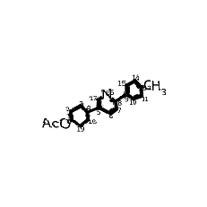 CC(=O)OC1CCC(c2ccc(-c3ccc(C)cc3)nc2)CC1